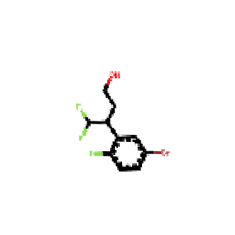 OCC[C](c1cc(Br)ccc1F)C(F)F